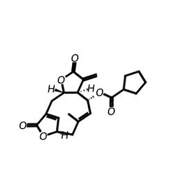 C=C1C(=O)O[C@H]2CC3=C[C@@H](C/C(C)=C/[C@@H](OC(=O)C4CCCC4)[C@H]12)OC3=O